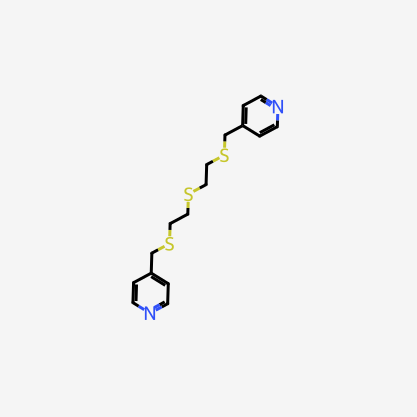 c1cc(CSCCSCCSCc2ccncc2)ccn1